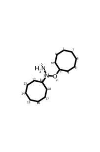 NN(OC1CCCCCCC1)C1CCCCCCC1